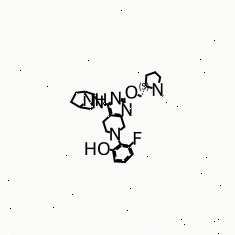 CN1CCC[C@H]1COc1nc2c(c(N3CC4CCC(C3)N4)n1)CCN(c1c(O)cccc1F)C2